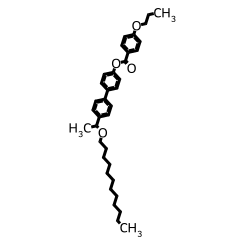 CCCCCCCCCCCCOC(C)c1ccc(-c2ccc(OC(=O)c3ccc(OCCC)cc3)cc2)cc1